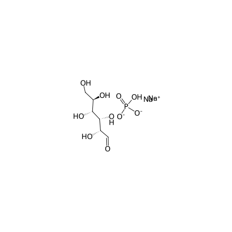 O=C[C@H](O)[C@@H](O)[C@H](O)[C@H](O)CO.O=P([O-])([O-])O.[Na+].[Na+]